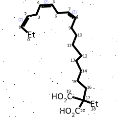 CC/C=C\C/C=C\C/C=C\CCCCCCCCC(CC)(C(=O)O)C(=O)O